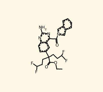 CCOC(=O)C(CCC(F)F)(CCC(F)F)c1ccc2nc(N)nc(C(=O)n3cc4ccccc4c3)c2c1